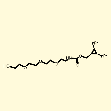 CCC[C@@H]1[C@H](CCC)[C@@H]1COC(=O)NCCOCCOCCOCCO